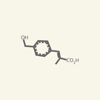 CC(=Cc1ccc(CO)cc1)C(=O)O